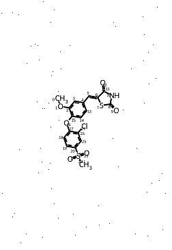 COc1cc(/C=C2\SC(=O)NC2=O)ccc1Oc1ccc(S(C)(=O)=O)cc1Cl